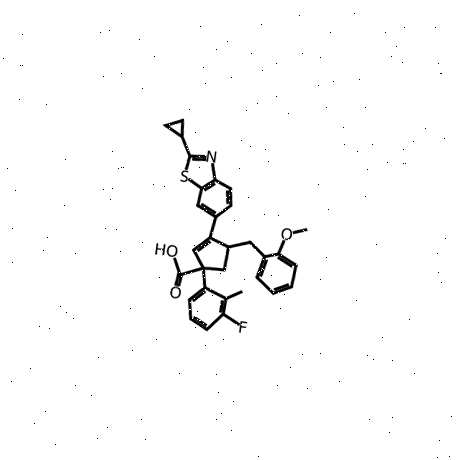 COc1ccccc1CC1CC(C(=O)O)(c2cccc(F)c2C)C=C1c1ccc2nc(C3CC3)sc2c1